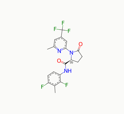 Cc1cc(C(F)(F)F)cc(N2C(=O)CC[C@H]2C(=O)Nc2ccc(F)c(C)c2F)n1